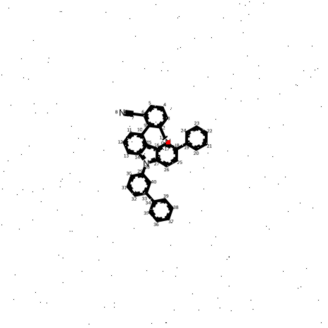 N#Cc1cccc(C#N)c1-c1cccc2c1c1cc(-c3ccccc3)ccc1n2-c1cccc(-c2ccccc2)c1